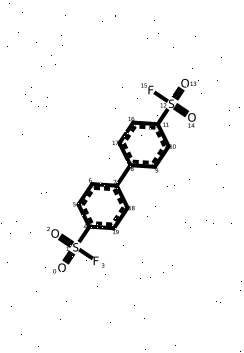 O=S(=O)(F)c1ccc(-c2ccc(S(=O)(=O)F)cc2)cc1